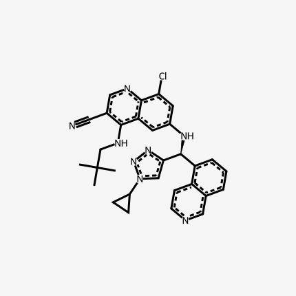 CC(C)(C)CNc1c(C#N)cnc2c(Cl)cc(N[C@H](c3cn(C4CC4)nn3)c3cccc4cnccc34)cc12